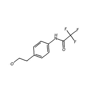 [O]CCc1ccc(NC(=O)C(F)(F)F)cc1